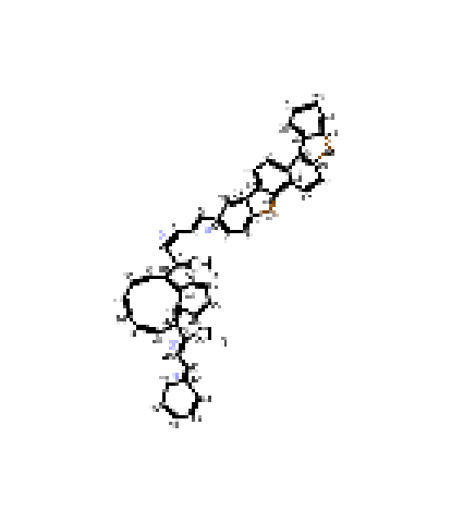 C=C(/C=C\C=C\c1ccc2sc3c(ccc4c3ccc3sc5ccccc5c34)c2c1)c1ccccccc(/C(C)=C/C=C2/C=CC=CC2)c2ccccc12